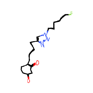 O=C1CCC(CCCc2cn(CCCCCF)nn2)C(=O)C1